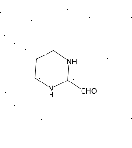 O=CC1NCCCN1